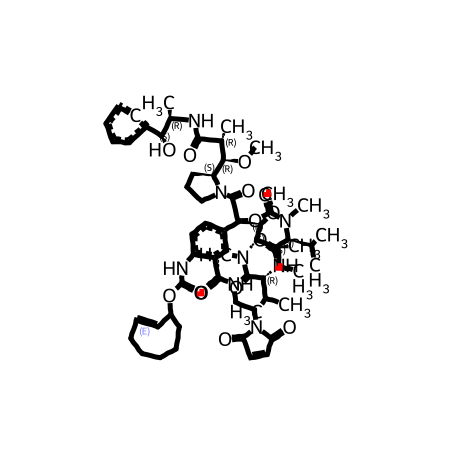 CC[C@H](C)[C@@H]([C@@H](CC(=O)N1CCC[C@H]1[C@H](OC)[C@@H](C)C(=O)N[C@H](C)[C@@H](O)c1ccccc1)OC)N(C)C(=O)[C@H](NC(=O)[C@H](C(C)C)N(C)C(=O)OCc1ccc(NC(=O)OC2/C=C/CCCCC2)c(C(=O)NCCN2C(=O)C=CC2=O)c1)C(C)C